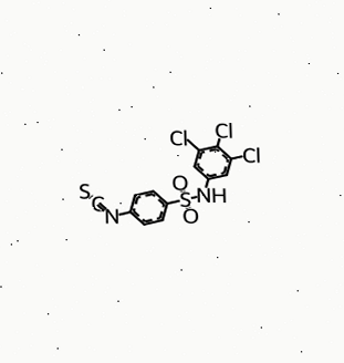 O=S(=O)(Nc1cc(Cl)c(Cl)c(Cl)c1)c1ccc(N=C=S)cc1